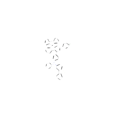 Clc1ccc(-c2cc(-c3ccc(N(c4ccccc4)c4ccc5sc6ccccc6c5c4)cc3)c3c(c2)C2(c4ccccc4-c4ccccc42)c2ccccc2-3)cc1